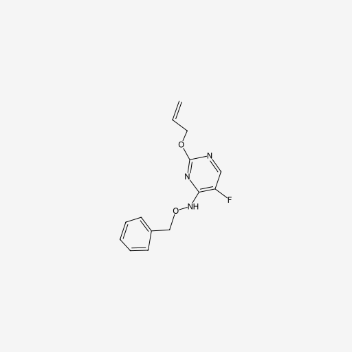 C=CCOc1ncc(F)c(NOCc2ccccc2)n1